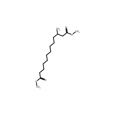 COC(=O)CCCCCCCCCC(C)CC(=O)OC